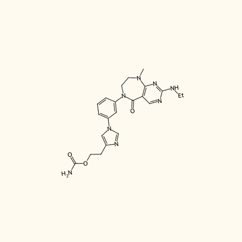 CCNc1ncc2c(n1)N(C)CCN(c1cccc(-n3cnc(CCOC(N)=O)c3)c1)C2=O